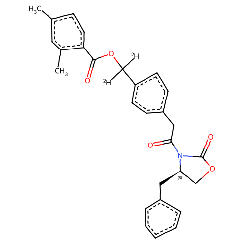 [2H]C([2H])(OC(=O)c1ccc(C)cc1C)c1ccc(CC(=O)N2C(=O)OC[C@H]2Cc2ccccc2)cc1